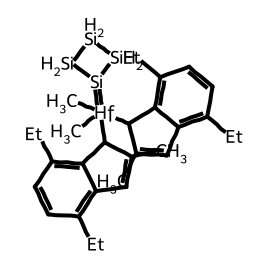 CCc1ccc(CC)c2c1C=C(C)[CH]2[Hf]([CH3])([CH3])([CH]1C(C)=Cc2c(CC)ccc(CC)c21)=[Si]1[SiH2][SiH2][SiH2]1